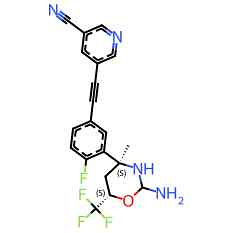 C[C@@]1(c2cc(C#Cc3cncc(C#N)c3)ccc2F)C[C@@H](C(F)(F)F)OC(N)N1